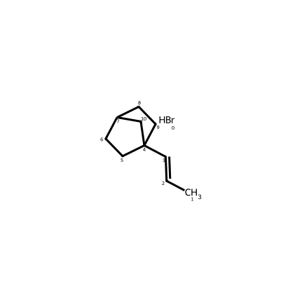 Br.CC=CC12CCC(CC1)C2